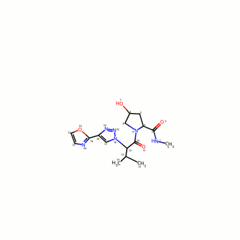 CNC(=O)C1CC(O)CN1C(=O)C(C(C)C)n1cc(-c2ncco2)nn1